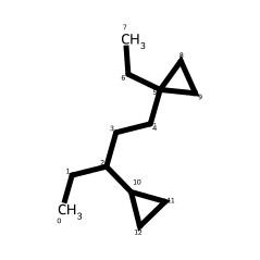 CCC(C[CH]C1(CC)CC1)C1CC1